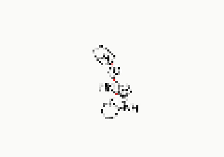 N=C1CCCCN1C(=O)NCCCN1C2CCC1CC(OCc1ccsc1)C2